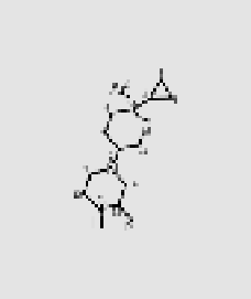 CC(=O)[C@@]1(C2CC2)CCC(N2CCNC(C)C2)CO1